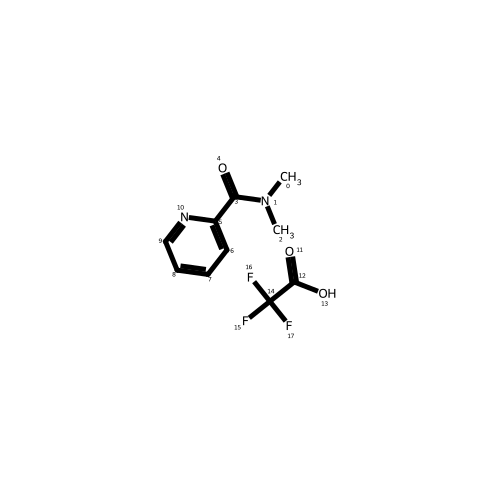 CN(C)C(=O)c1ccccn1.O=C(O)C(F)(F)F